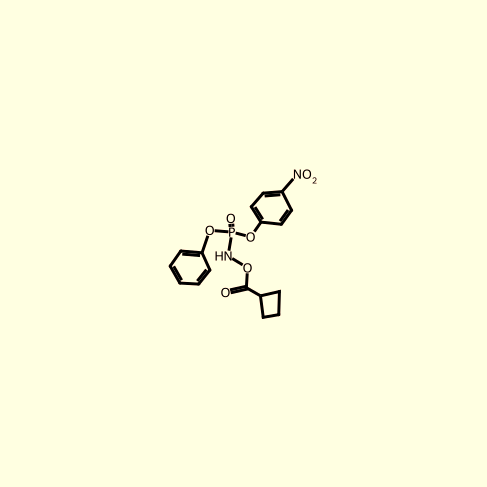 O=C(ONP(=O)(Oc1ccccc1)Oc1ccc([N+](=O)[O-])cc1)C1CCC1